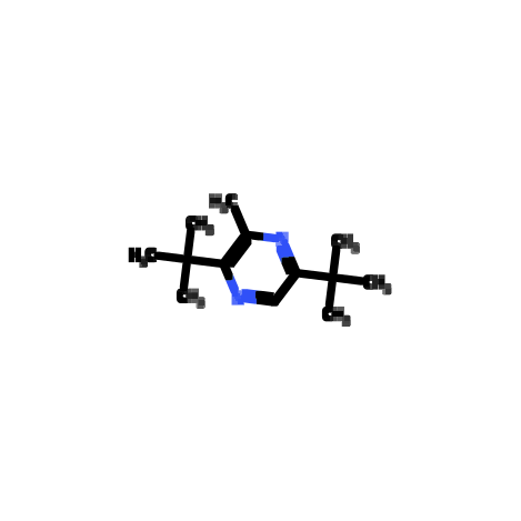 Cc1nc(C(C)(C)C)cnc1C(C)(C)C